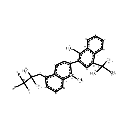 Cc1c(-c2ccc3c(CC(C)(C)C(F)(F)F)cccc3[n+]2C)cc(C(C)(C)C)c2ccccc12